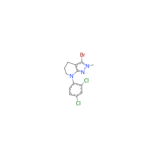 Cn1nc2c(c1Br)CCCN2c1ccc(Cl)cc1Cl